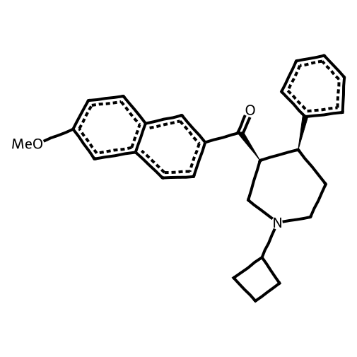 COc1ccc2cc(C(=O)[C@@H]3CN(C4CCC4)CC[C@@H]3c3ccccc3)ccc2c1